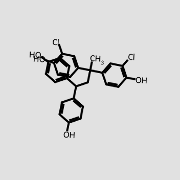 CC(CC(c1ccc(O)cc1)c1ccc(O)cc1)(c1ccc(O)c(Cl)c1)c1ccc(O)c(Cl)c1